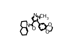 Cn1ncc(C(=O)N2CCCC3CCCC=C32)c1-c1ccc2c(c1)OCCO2